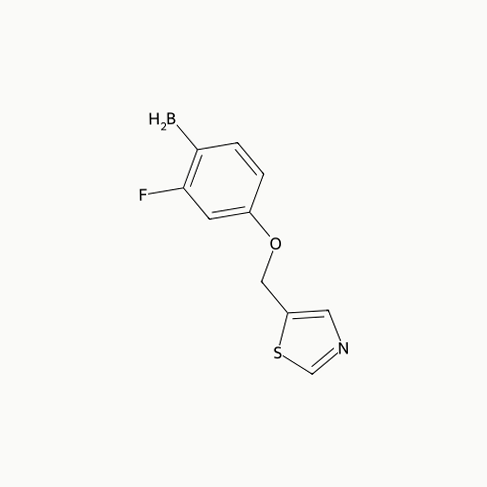 Bc1ccc(OCc2cncs2)cc1F